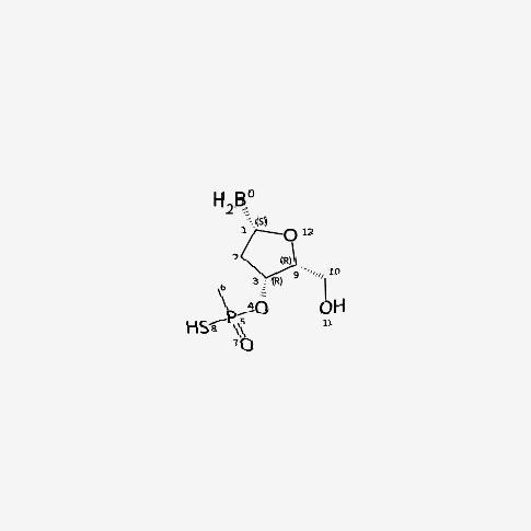 B[C@H]1C[C@@H](OP(C)(=O)S)[C@@H](CO)O1